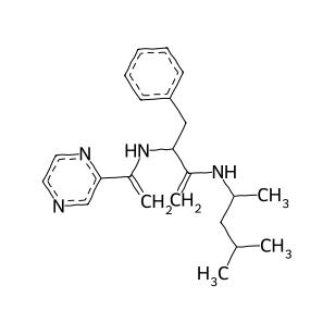 C=C(NC(Cc1ccccc1)C(=C)NC(C)CC(C)C)c1cnccn1